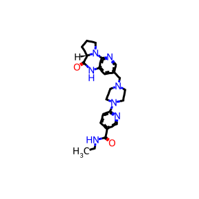 CCNC(=O)c1ccc(N2CCN(Cc3cnc4c(c3)NC(=O)[C@@H]3CCCN43)CC2)nc1